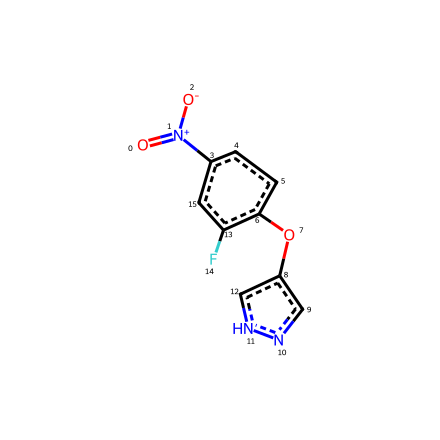 O=[N+]([O-])c1ccc(Oc2cn[nH]c2)c(F)c1